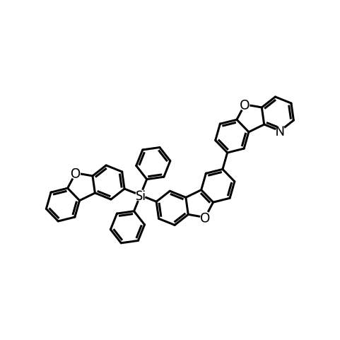 c1ccc([Si](c2ccccc2)(c2ccc3oc4ccccc4c3c2)c2ccc3oc4ccc(-c5ccc6oc7cccnc7c6c5)cc4c3c2)cc1